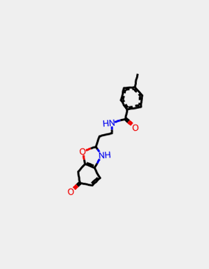 Cc1ccc(C(=O)NCCC2NC3=C(CC(=O)C=C3)O2)cc1